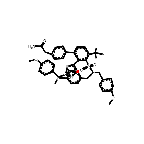 COc1ccc(CN(Cc2ccc(OC)cc2)S(=O)(=O)c2c(C(F)(F)F)ccc(-c3ccc(CC(N)=O)cc3)c2-c2nnn(Cc3ccc(OC)cc3)n2)cc1